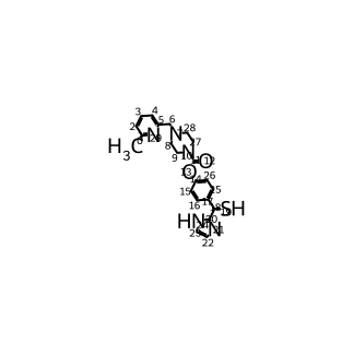 Cc1cccc(CN2CCN(C(=O)Oc3ccc(C(S)c4ncc[nH]4)cc3)CC2)n1